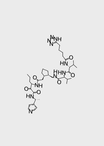 CCCC(NC(=O)C[C@H]1CCC[C@H]1CNC(=O)[C@@H](NC(=O)[C@H](NC(=O)CCCCc1nnn[nH]1)C(C)C)C(C)C)C(=O)C(=O)N[C@H](C)c1ccncc1